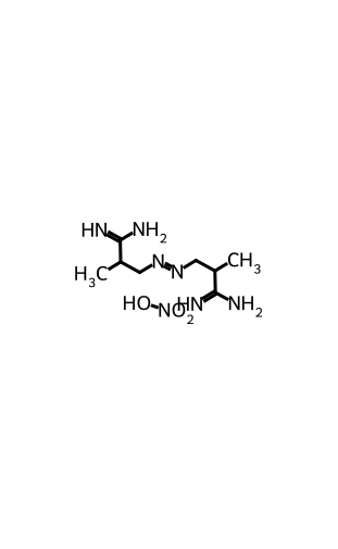 CC(CN=NCC(C)C(=N)N)C(=N)N.O=[N+]([O-])O